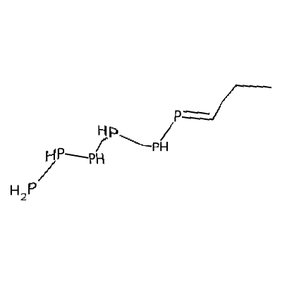 CC/C=P/PPPPP